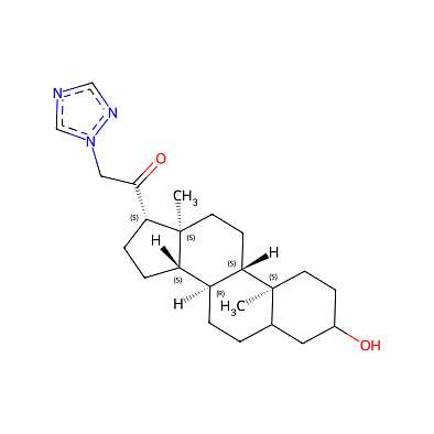 C[C@]12CC[C@H]3[C@@H](CCC4CC(O)CC[C@@]43C)[C@@H]1CC[C@@H]2C(=O)Cn1cncn1